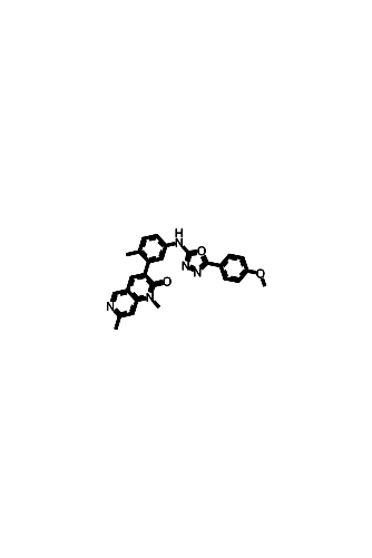 COc1ccc(-c2nnc(Nc3ccc(C)c(-c4cc5cnc(C)cc5n(C)c4=O)c3)o2)cc1